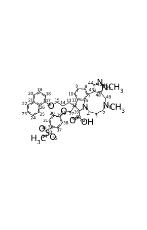 CN1CCCN2c3c(cccc3C(CCCOc3cccc4ccccc34)(COc3ccc(S(C)(=O)=O)cc3)C2C(=O)O)-c2cnn(C)c2C1